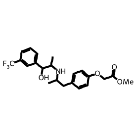 COC(=O)COc1ccc(CC(C)NC(C)C(O)c2cccc(C(F)(F)F)c2)cc1